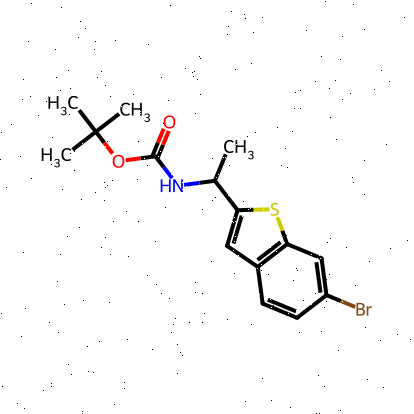 CC(NC(=O)OC(C)(C)C)c1cc2ccc(Br)cc2s1